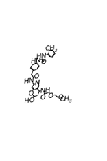 COCCOCC(=O)NC(CC(=O)O)c1ccc(NC(=O)Cc2ccc(NC(=O)Nc3ccccc3C)cc2)nc1